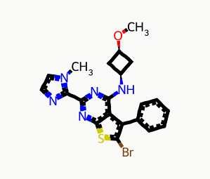 CO[C@H]1C[C@@H](Nc2nc(-c3nccn3C)nc3sc(Br)c(-c4ccccc4)c23)C1